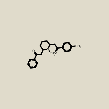 Cc1ccc(C(=O)CC2CCCC(CC(=O)c3ccccc3)N2C)cc1